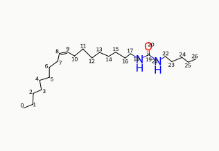 CCCCCCCC/C=C\CCCCCCCCNC(=O)NCCCCC